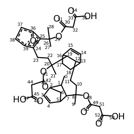 CC1C2C=CC(C2)C1C(C)(CCC1C2C=CC(CC2)C1C(C)(CCc1c(C(C)(C)OC(=O)CC(=O)O)c2ccc1o2)OC(=O)CC(=O)O)OC(=O)CC(=O)O